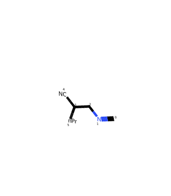 C=NCC(C#N)CCC